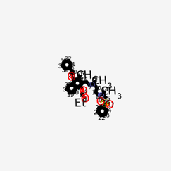 CCOCOc1c(C/C=C(\C)CC/C=C(\C)CS(=O)(=O)c2ccccc2)c(C)c(OCc2ccccc2)c2ccccc12